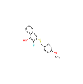 COc1ccc(CSc2cc3ccccc3c(O)c2F)cc1